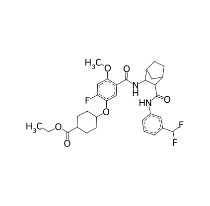 CCOC(=O)C1CCC(Oc2cc(C(=O)NC3C4CCC(C4)C3C(=O)Nc3cccc(C(F)F)c3)c(OC)cc2F)CC1